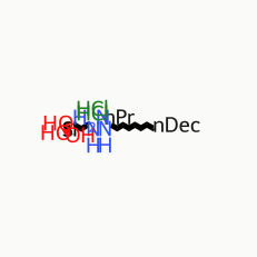 CCCCCCCCCCCCCCCCCCNCNCCC[Si](O)(O)O.CCCN.Cl.Cl